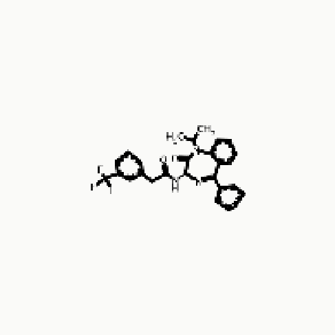 CC(C)N1C(=O)[C@H](NC(=O)Cc2cccc(C(F)(F)F)c2)N=C(c2ccccc2)c2ccccc21